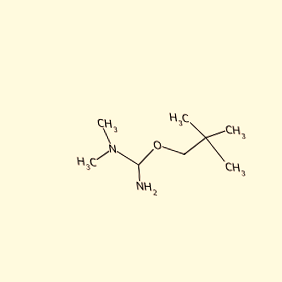 CN(C)C(N)OCC(C)(C)C